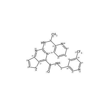 CC(Nc1nc(C(=O)NCc2cncc(C(F)(F)F)c2)c2sccc2n1)c1ccccn1